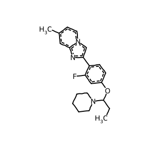 CCC(Oc1ccc(-c2cn3ccc(C)cc3n2)c(F)c1)N1CCCCC1